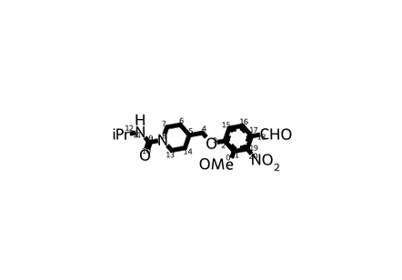 COc1c(OCC2CCN(C(=O)NC(C)C)CC2)ccc(C=O)c1[N+](=O)[O-]